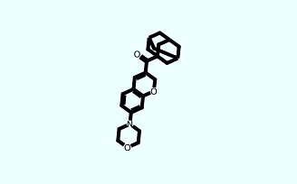 O=C(C1=Cc2ccc(N3CCOCC3)cc2OC1)C12CC3CC(CC(C3)C1)C2